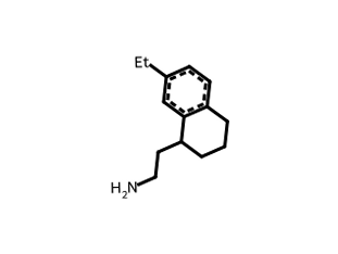 CCc1ccc2c(c1)C(CCN)CCC2